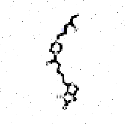 CCC(=O)/C=C/CN1CCN(C(=O)CCCCC2SCC3NC(=O)NC32)CC1